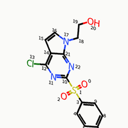 O=S(=O)(c1ccc(F)cc1)c1nc(Cl)c2ccn(CCO)c2n1